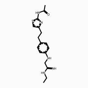 CCNC(=N)CNc1ccc(CCc2csc(NC(C)=O)n2)cc1